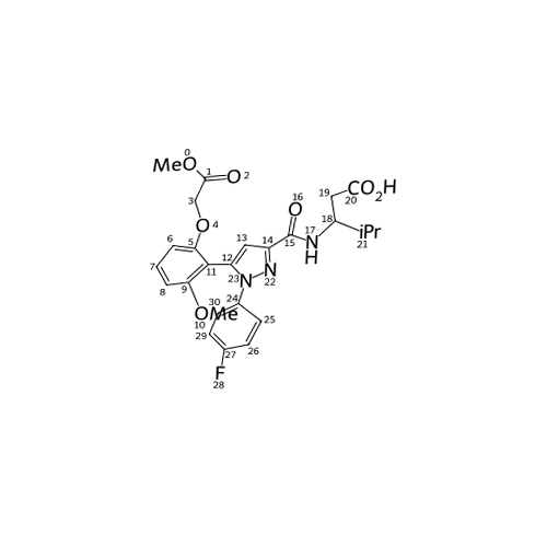 COC(=O)COc1cccc(OC)c1-c1cc(C(=O)NC(CC(=O)O)C(C)C)nn1-c1ccc(F)cc1